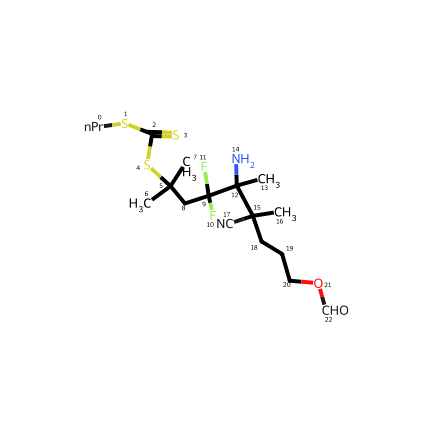 CCCSC(=S)SC(C)(C)CC(F)(F)C(C)(N)C(C)(C#N)CCCOC=O